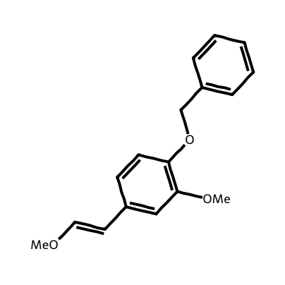 CO/C=C/c1ccc(OCc2ccccc2)c(OC)c1